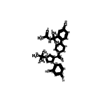 CC(=O)NC(C)(C)c1cc(Cl)ccc1C1CCN(C(=O)[C@@H]2CN(C(C)(C)C)C[C@H]2c2ccc(F)cc2F)CC1